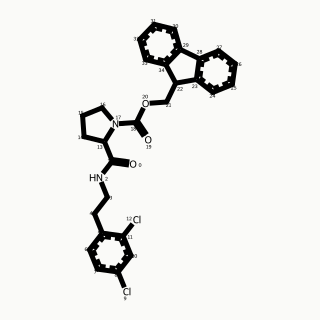 O=C(NCCc1ccc(Cl)cc1Cl)C1CCCN1C(=O)OCC1c2ccccc2-c2ccccc21